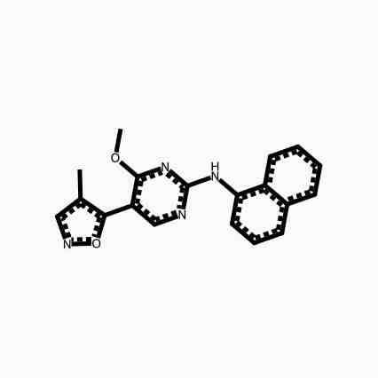 COc1nc(Nc2cccc3ccccc23)ncc1-c1oncc1C